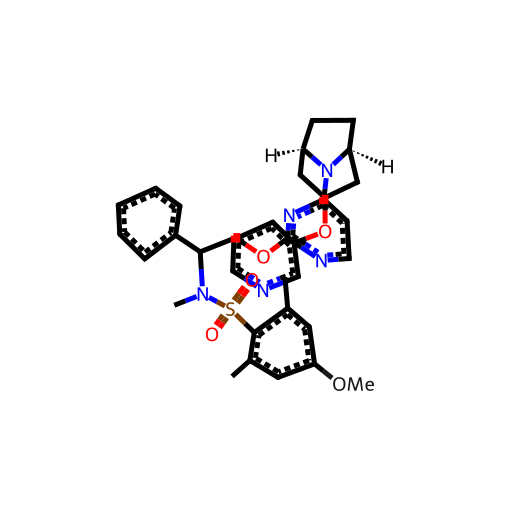 COc1cc(C)c(S(=O)(=O)N(C)C(COc2nccc(N3[C@@H]4CC[C@H]3CC(Oc3cccnc3)C4)n2)c2ccccc2)c(C)c1